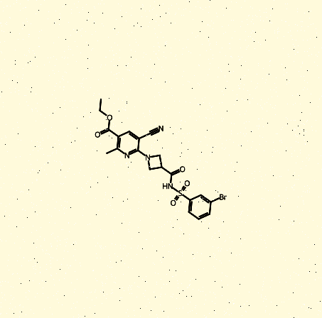 CCOC(=O)c1cc(C#N)c(N2CC(C(=O)NS(=O)(=O)c3cccc(Br)c3)C2)nc1C